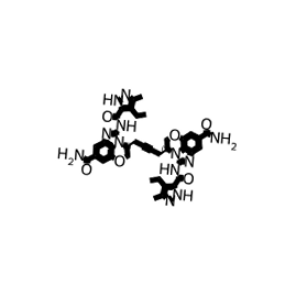 CCc1c(C)n[nH]c1C(=O)Nc1nc2cc(C(N)=O)cc3c2n1[C@@H](CC#CC[C@H]1COc2cc(C(N)=O)cc4nc(NC(=O)c5[nH]nc(C)c5CC)n1c24)CO3